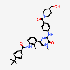 Cc1c(NC(=O)c2ccc(C(C)(C)C)cc2)cccc1-c1cn(C)c(=O)c(Nc2ccc(C(=O)N3CCC(CO)CC3)cc2)n1